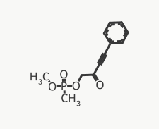 COP(C)(=O)OCC(=O)C#Cc1ccccc1